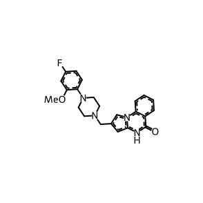 COc1cc(F)ccc1N1CCN(Cc2cc3[nH]c(=O)c4ccccc4n3c2)CC1